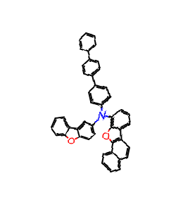 c1ccc(-c2ccc(-c3ccc(N(c4ccc5oc6ccccc6c5c4)c4cccc5c4oc4c6ccccc6ccc54)cc3)cc2)cc1